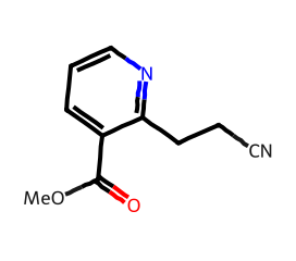 COC(=O)c1cccnc1CCC#N